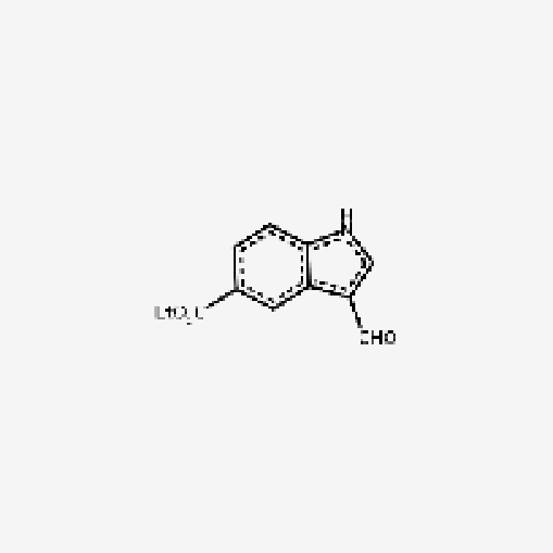 CCOC(=O)c1ccc2[nH]cc(C=O)c2c1